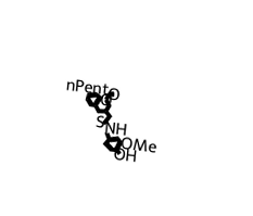 CCCCCC(=O)OCC(CC(=S)NCc1ccc(O)c(OC)c1)Cc1ccccc1